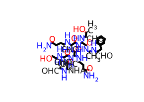 CC(=O)N[C@@H](N[C@@H](C)C=O)C(=O)N[C@@H](N[C@@H](C=O)CO)C(=O)N[C@@H](N[C@@H](C=O)CCC(N)=O)C(=O)N[C@@H](N[C@@H](C=O)CCC(N)=O)C(=O)N[C@@H](N[C@@H](C=O)[C@H](C)O)C(=O)N[C@H](C)N[C@@H](C=O)Cc1ccccc1